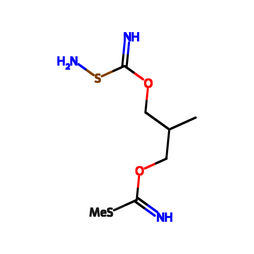 CSC(=N)OCC(C)COC(=N)SN